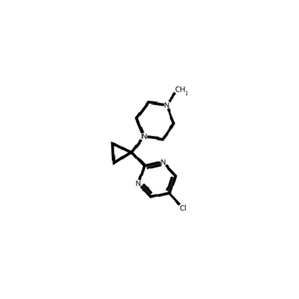 CN1CCN(C2(c3ncc(Cl)cn3)CC2)CC1